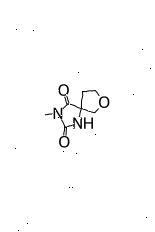 CN1C(=O)NC2(CCOC2)C1=O